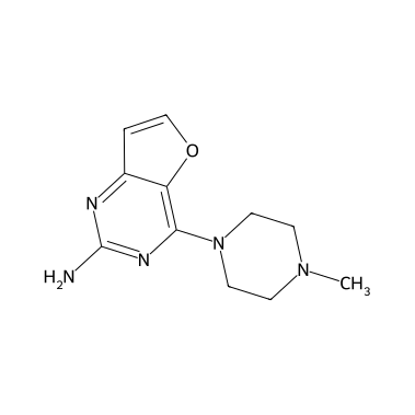 CN1CCN(c2nc(N)nc3ccoc23)CC1